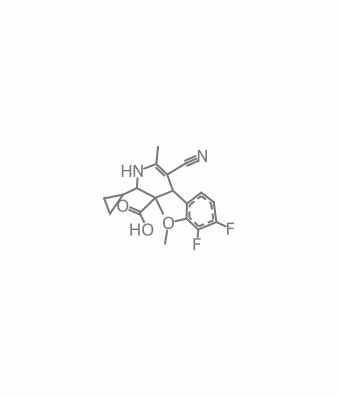 COc1c(C2C(C#N)=C(C)NC(C3CC3)C2(C)C(=O)O)ccc(F)c1F